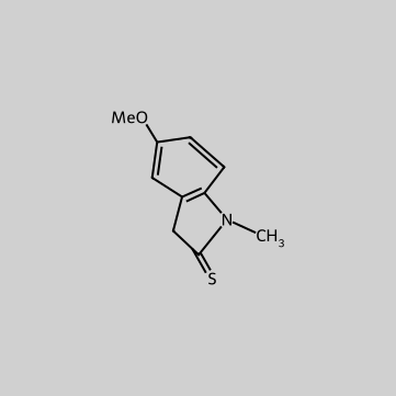 COc1ccc2c(c1)CC(=S)N2C